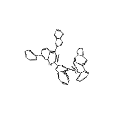 c1ccc(-c2ccc3c(-c4ccc5ccccc5c4)nc(-c4cc(-n5c6ccccc6c6cc7ccccc7cc65)c5ccccc5c4)nc3c2)cc1